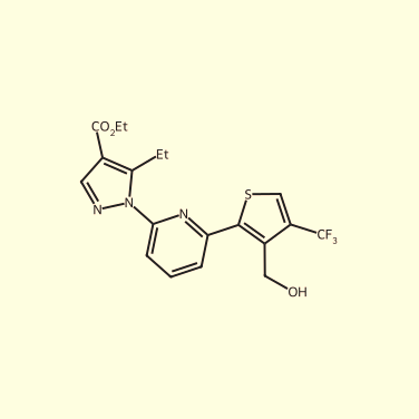 CCOC(=O)c1cnn(-c2cccc(-c3scc(C(F)(F)F)c3CO)n2)c1CC